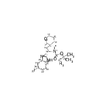 CC(C)(C)OC(=O)N1C[C@]2(CCCOC2)C[C@H]1c1nc2cc(I)ccc2[nH]1